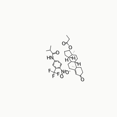 CC(C)C(=O)Nc1ccc([N+](=O)[O-])c(C(F)(F)F)c1.CCC(=O)O[C@H]1CC[C@H]2[C@@H]3CCC4=CC(=O)CC[C@]4(C)[C@H]3CC[C@]12C